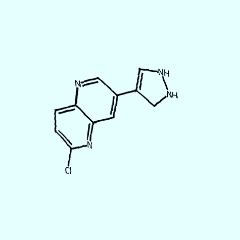 Clc1ccc2ncc(C3=CNNC3)cc2n1